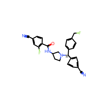 N#Cc1ccc([C@H](c2ccc(CF)cc2)N2CCC(NC(=O)c3ccc(C#N)cc3F)C2)cc1